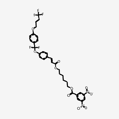 O=C(C=Cc1ccc(OC(F)(F)c2ccc(OCCCC(F)(F)F)cc2)cc1)OCCCCCCOC(=O)c1cc([N+](=O)[O-])cc([N+](=O)[O-])c1